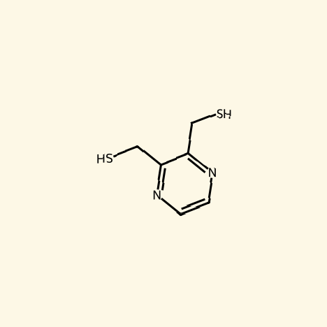 SCc1nccnc1CS